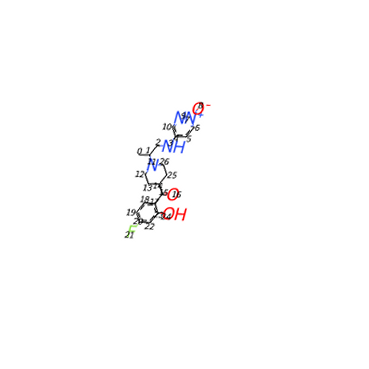 CC(CNc1cc[n+]([O-])nc1)N1CCC(C(=O)c2ccc(F)cc2O)CC1